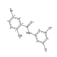 O=C(Nc1cc(Cl)cc(Cl)c1)c1cc(Br)ccc1O